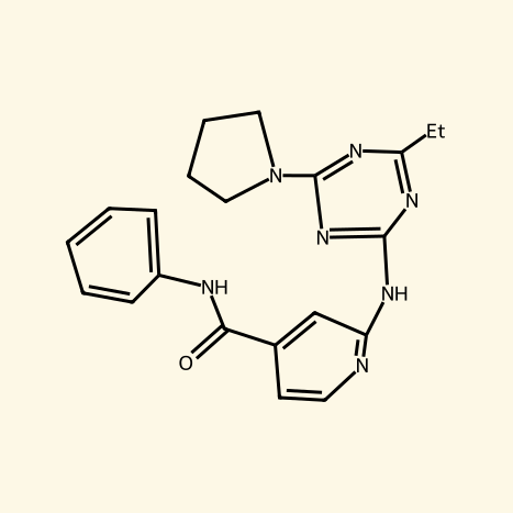 CCc1nc(Nc2cc(C(=O)Nc3ccccc3)ccn2)nc(N2CCCC2)n1